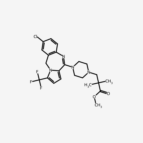 COC(=O)C(C)(C)CN1CCN(C2=Nc3ccc(Cl)cc3Cn3c2ccc3C(F)(F)F)CC1